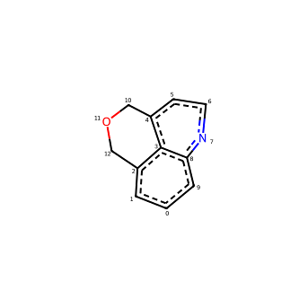 c1cc2c3c(ccnc3c1)COC2